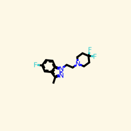 Cc1nn(CCN2CCC(F)(F)CC2)c2ccc(F)cc12